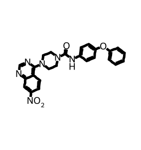 O=C(Nc1ccc(Oc2ccccc2)cc1)N1CCN(c2ncnc3cc([N+](=O)[O-])ccc23)CC1